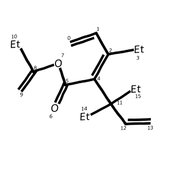 C=CC(CC)=C(C(=O)OC(=C)CC)C(C=C)(CC)CC